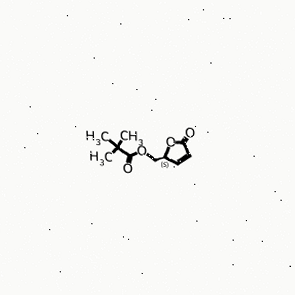 CC(C)(C)C(=O)OC[C@@H]1C=CC(=O)O1